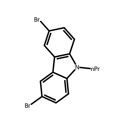 CCCn1c2ccc(Br)cc2c2cc(Br)ccc21